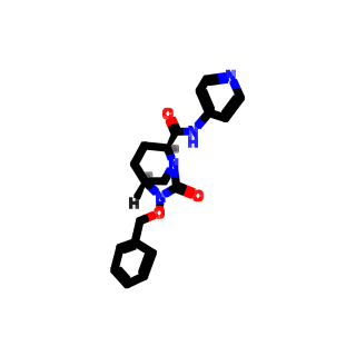 O=C(Nc1ccncc1)[C@@H]1CC[C@@H]2CN1C(=O)N2OCc1ccccc1